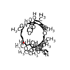 CO[C@H]1/C=C/O[C@@]2(C)Oc3c(C)c(O)c4c(c3C2=O)C(=O)C(N2CCOCC2)=C(NC(=O)/C(C)=C\C=C\[C@H](C)[C@@H]2OC(C)(C)O[C@@H]([C@@H](C)[C@H](OC(=O)n3ccnc3)[C@@H]1C)[C@@H]2C)C4=O